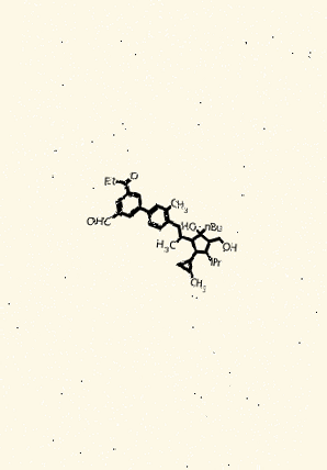 CCCCC1(O)C(CO)C(C(C)C)C(C2CC2C)C1C(C)Cc1ccc(-c2cc(C=O)cc(C(=O)CC)c2)cc1C